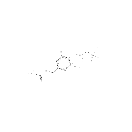 COC(=O)CCc1cc(C(C)(C)C)c(OP2NC(C)(C)CO2)c(C(C)(C)C)c1